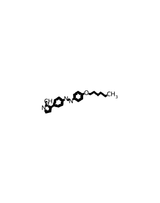 CCCCCCOc1ccc(N=Nc2ccc(-c3ccnn3C)cc2)cc1